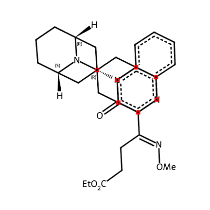 CCOC(=O)CCC(=NOC)c1nc2ccccc2n([C@H]2C[C@H]3CCC[C@@H](C2)N3C2CC3CCCC(C3)C2)c1=O